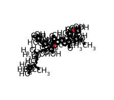 CCNC(=O)C1OC(O[C@H]2CC[C@@]3(C)C(CC[C@]4(C)C3CC=C3C5CC(C)(C)CC[C@]5(C(=O)OC5OC(O)CC(OC(=O)C[C@@H](O)C[C@H](OC(=O)C[C@@H](O)C[C@H](OC6OC(CO)C(O)C6O)[C@@H](C)CC)[C@@H](C)CC)C5OC5OC(C)C(OC6OCC(O)C(OC)C6O)C(O)C5O)[C@H](O)C[C@]34C)[C@]2(C)C=O)C(OC2OC(CO)C(O)C(O)C2O)C(OC2OCC(O)C(O)C2O)C1O